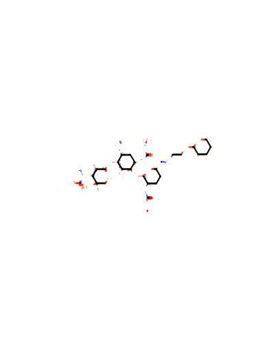 CN(C(=O)OC(C)(C)C)[C@@H]1[C@@H](O)[C@@H](O[C@@H]2[C@@H](O)[C@H](O[C@H]3O[C@H](CNCCOC4CCCCO4)CC[C@H]3NC(=O)OC(C)(C)C)[C@@H](NC(=O)OC(C)(C)C)C[C@H]2NC(=O)O)OC[C@]1(C)O